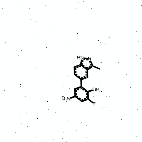 Cc1n[nH]c2ccc(-c3cc([N+](=O)[O-])cc(F)c3O)cc12